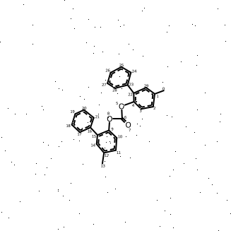 Cc1ccc(OC(=O)Oc2ccc(C)cc2-c2ccccc2)c(-c2ccccc2)c1